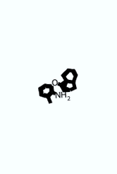 Cc1cccc(OC2=CC3CC4C=CC=CC24C3)c1N